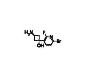 N[C@H]1C[C@@](O)(c2ccc(Br)nc2F)C1